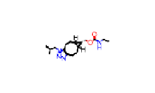 CCNC(=O)OC[C@@H]1[C@@H]2CCc3nnn(CC(C)C)c3CC[C@@H]21